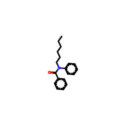 CCCCCCN(C(=O)c1ccccc1)c1ccccc1